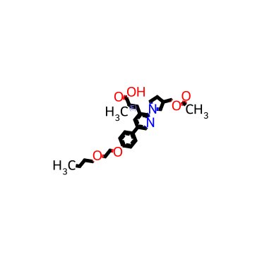 CCCCOCCOc1ccc(-c2cnc(N3CCC(COC(C)=O)C3)c(/C=C(\C)C(=O)O)c2)cc1